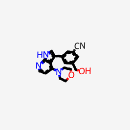 N#Cc1cc(CO)cc(-c2c[nH]c3nccc(N4CCOCC4)c23)c1